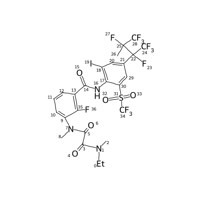 CCN(C)C(=O)C(=O)N(C)c1cccc(C(=O)Nc2c(I)cc(C(F)(C(F)(F)F)C(C)(F)C(F)(F)F)cc2S(=O)(=O)C(F)(F)F)c1F